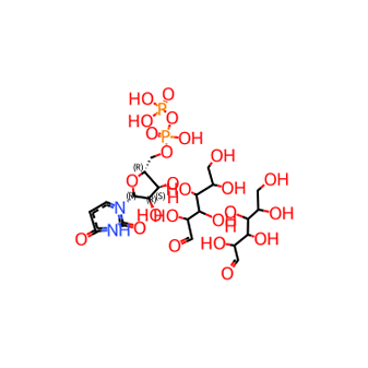 O=CC(O)C(O)C(O)C(O)CO.O=CC(O)C(O)C(O)C(O)CO.O=c1ccn([C@@H]2O[C@H](COP(=O)(O)OP(=O)(O)O)[C@@H](O)[C@H]2O)c(=O)[nH]1